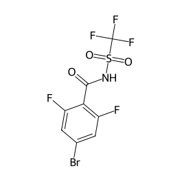 O=C(NS(=O)(=O)C(F)(F)F)c1c(F)cc(Br)cc1F